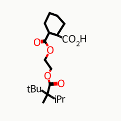 CC(C)C(C)(C(=O)OCCOC(=O)C1CCCCC1C(=O)O)C(C)(C)C